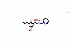 C=CCC/C(C)=C(\C=C(/C)OC)C(O)CNCC1=NC=CCCC1